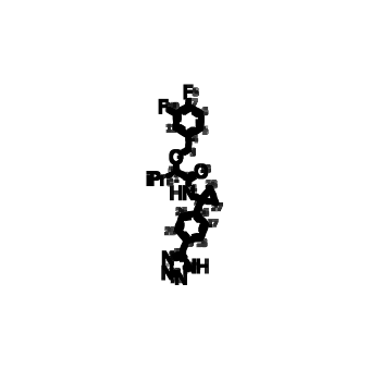 CC(C)[C@@H](OCc1ccc(F)c(F)c1)C(=O)NC1(c2ccc(-c3nnn[nH]3)cc2)CC1